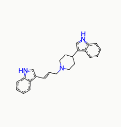 C(=Cc1c[nH]c2ccccc12)CN1CCC(c2c[nH]c3ccccc23)CC1